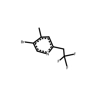 Cc1cc(CC(F)(F)F)ncc1Br